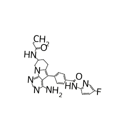 C=CC(=O)NC1CCc2c(-c3ccc(C(=O)Nc4ccc(F)cn4)cc3)c3c(N)ncnc3n2C1